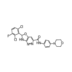 O=C(Nc1ccc(N2CCOCC2)cc1)c1cc2c(nn1)NC(c1c(Cl)ccc(F)c1Cl)O2